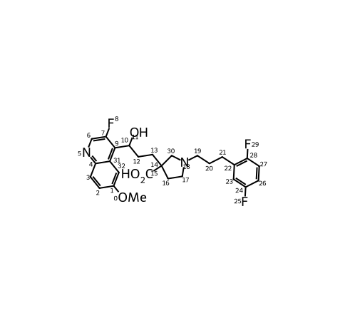 COc1ccc2ncc(F)c(C(O)CCC3(C(=O)O)CCN(CCCc4cc(F)ccc4F)C3)c2c1